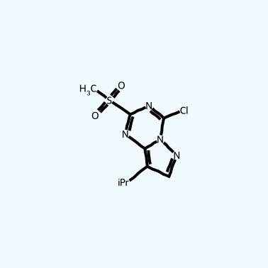 CC(C)c1cnn2c(Cl)nc(S(C)(=O)=O)nc12